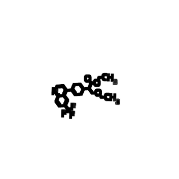 CCOCC(C(=O)OCC)C1CC=C(c2ccnc3ccc(C(F)(F)F)cc23)CC1